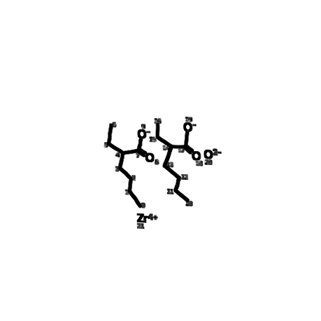 CCCCC(CC)C(=O)[O-].CCCCC(CC)C(=O)[O-].[O-2].[Zr+4]